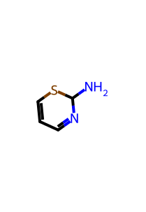 NC1N=CC=CS1